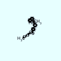 COCCOCCOC(=O)c1ccc([C@H]2CCC[C@H](N[C@H](C)c3cccc4ccccc34)C2)cc1